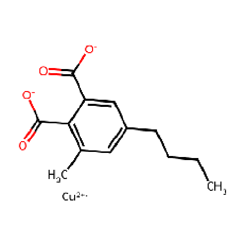 CCCCc1cc(C)c(C(=O)[O-])c(C(=O)[O-])c1.[Cu+2]